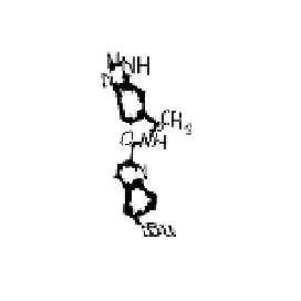 C[C@@H](NC(=O)c1ccc2cc(C(C)(C)C)ccc2n1)c1ccc2nn[nH]c2c1